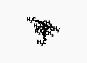 [CH2]Cc1cc(C(C)(C)CCCCC)c(O)c(C(C)(C)CCCCC)c1